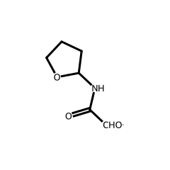 O=[C]C(=O)NC1CCCO1